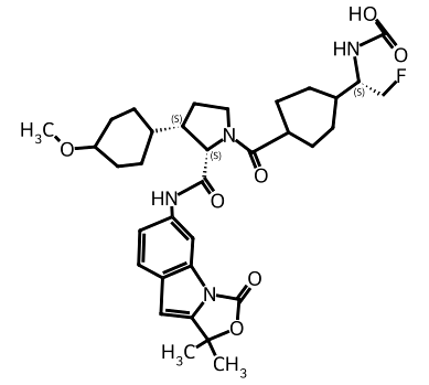 COC1CCC([C@@H]2CCN(C(=O)C3CCC([C@@H](CF)NC(=O)O)CC3)[C@@H]2C(=O)Nc2ccc3cc4n(c3c2)C(=O)OC4(C)C)CC1